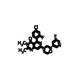 Cc1nc2cc(N3CCO[C@@H](c4cncc(F)c4)C3)nc(-c3ccc(Cl)cc3F)c2c(=O)n1C